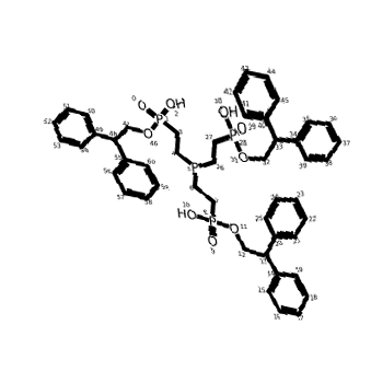 O=P(O)(CCP(CCP(=O)(O)OCC(c1ccccc1)c1ccccc1)CCP(=O)(O)OCC(c1ccccc1)c1ccccc1)OCC(c1ccccc1)c1ccccc1